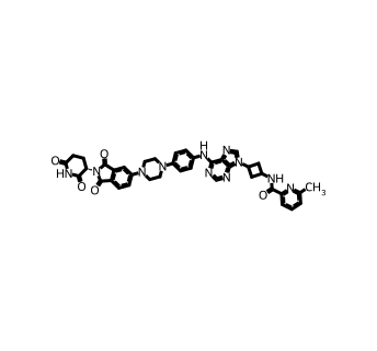 Cc1cccc(C(=O)NC2CC(n3cnc4c(Nc5ccc(N6CCN(c7ccc8c(c7)C(=O)N([C@H]7CCC(=O)NC7=O)C8=O)CC6)cc5)ncnc43)C2)n1